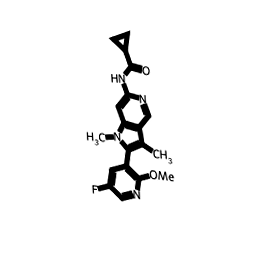 COc1ncc(F)cc1-c1c(C)c2cnc(NC(=O)C3CC3)cc2n1C